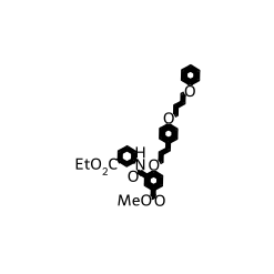 CCOC(=O)C1CCCC(NC(=O)c2cc(C(=O)OC)ccc2OCCCc2ccc(OCCCCOc3ccccc3)cc2)C1